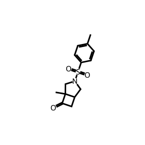 Cc1ccc(S(=O)(=O)N2CC3CC(=O)C3(C)C2)cc1